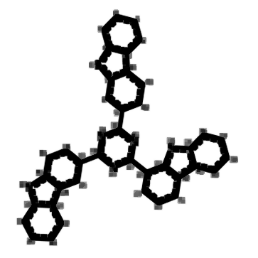 c1ccc2c(c1)sc1cc(-c3nc(-c4ccc5sc6ccccc6c5c4)nc(-c4cccc5c4sc4ccccc45)n3)ccc12